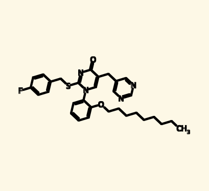 CCCCCCCCCOc1ccccc1-n1cc(Cc2cncnc2)c(=O)nc1SCc1ccc(F)cc1